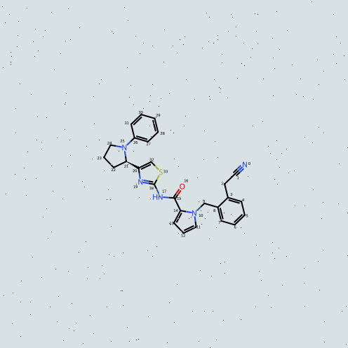 N#CCc1ccccc1Cn1cccc1C(=O)Nc1nc([C@H]2CCCN2c2ccccc2)cs1